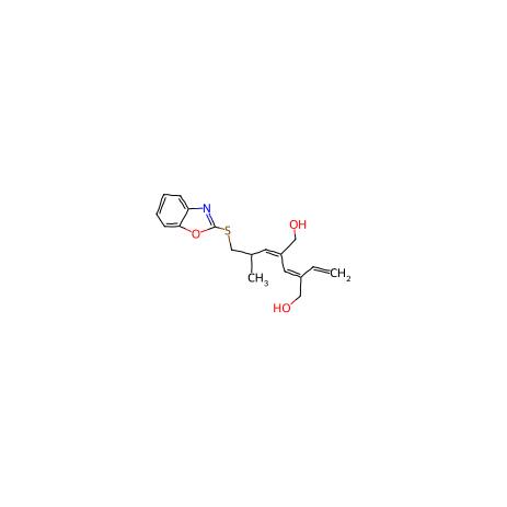 C=C/C(=C\C(=C/C(C)CSc1nc2ccccc2o1)CO)CO